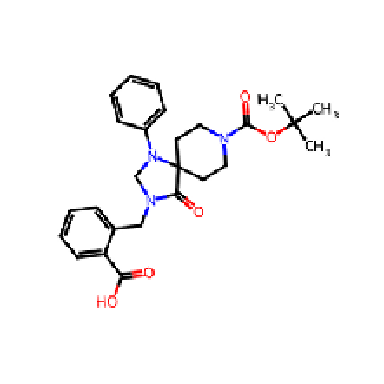 CC(C)(C)OC(=O)N1CCC2(CC1)C(=O)N(Cc1ccccc1C(=O)O)CN2c1ccccc1